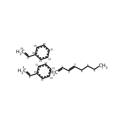 C=CC=CCCCC.C=Cc1ccccc1.C=Cc1ccccc1